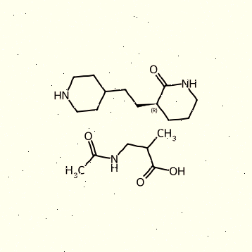 CC(=O)NCC(C)C(=O)O.O=C1NCCC[C@H]1CCC1CCNCC1